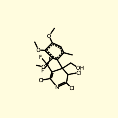 COc1cc(C)c(C2(CO)C(C(F)(F)F)=C(Cl)N=C(Cl)C2Cl)c(OC)c1OC